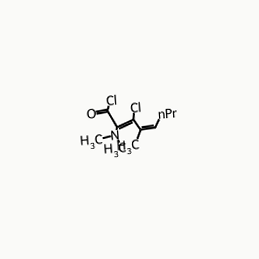 CCC/C=C(C)\C(Cl)=C(\C(=O)Cl)N(C)C